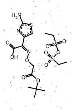 CC(C)(C)OC(=O)CON=C(C(=O)O)c1csc(N)n1.CCS(=O)(=O)OS(=O)(=O)CC